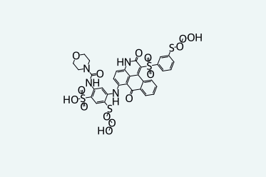 O=C1c2ccccc2-c2c(S(=O)(=O)c3cccc(SOOO)c3)c(=O)[nH]c3ccc(Nc4cc(NC(=O)N5CCOCC5)c(S(=O)(=O)O)cc4SOOO)c1c23